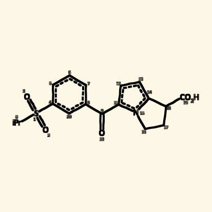 CC(C)S(=O)(=O)c1cccc(C(=O)c2ccc3n2CCC3C(=O)O)c1